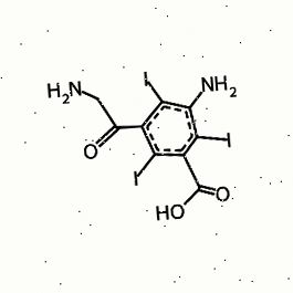 NCC(=O)c1c(I)c(N)c(I)c(C(=O)O)c1I